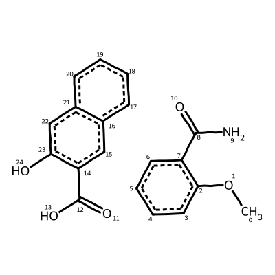 COc1ccccc1C(N)=O.O=C(O)c1cc2ccccc2cc1O